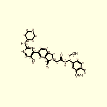 COc1cc([C@@H](CO)NC(=O)CN2Cc3ccc(-c4nc(NC5CCOCC5)ncc4Cl)cc3C2=O)ccc1F